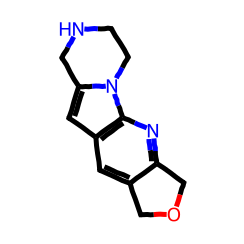 c1c2c(nc3c1cc1n3CCNC1)COC2